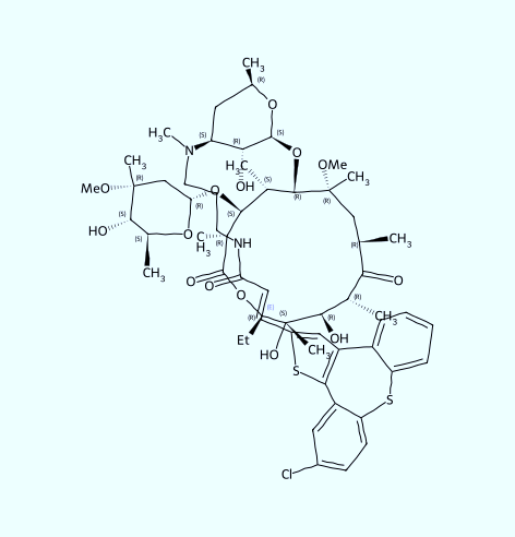 CC[C@H]1OC(=O)[C@H](C)[C@@H](O[C@H]2C[C@@](C)(OC)[C@@H](O)[C@H](C)O2)[C@H](C)[C@@H](O[C@@H]2O[C@H](C)C[C@H](N(C)CCCNC(=O)/C=C/c3cc4c(s3)-c3cc(Cl)ccc3Sc3ccccc3-4)[C@H]2O)[C@](C)(OC)C[C@@H](C)C(=O)[C@H](C)[C@@H](O)[C@]1(C)O